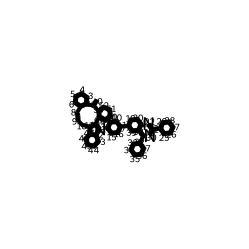 C=C1c2ccccc2/C=C\Cc2c(n(-c3ccc(-c4ccc5nc(-c6ccccc6)nc(-c6ccccc6)c5c4)cc3)c3ccccc23)-c2ccccc21